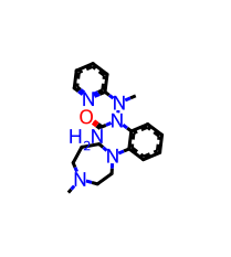 CN1CCCN(c2ccccc2N(C(N)=O)N(C)c2ccccn2)CC1